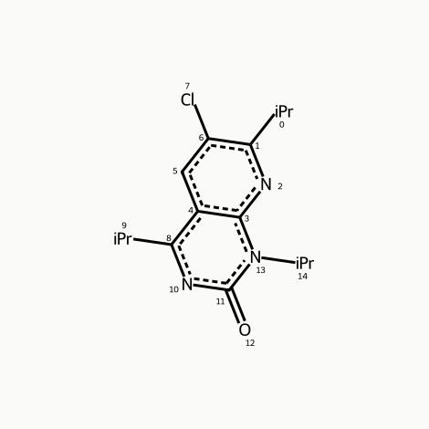 CC(C)c1nc2c(cc1Cl)c(C(C)C)nc(=O)n2C(C)C